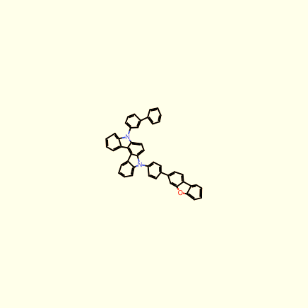 c1ccc(-c2cccc(-n3c4ccccc4c4c5c6ccccc6n(-c6ccc(-c7ccc8c(c7)oc7ccccc78)cc6)c5ccc43)c2)cc1